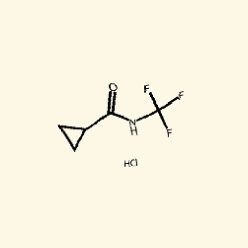 Cl.O=C(NC(F)(F)F)C1CC1